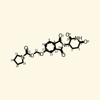 O=C1CCC(N2C(=O)c3ccc(OCOC(=O)N4CCCC4)cc3C2=O)C(=O)N1